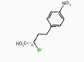 O=C(O)[C@@H](Br)CCc1ccc([N+](=O)[O-])cc1